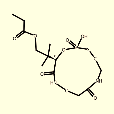 CCC(=O)OCC(C)(C)[C@H]1OP(=O)(O)SCCNC(=O)CCNC1=O